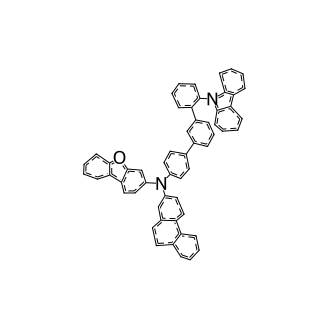 c1cc(-c2ccc(N(c3ccc4c(ccc5ccccc54)c3)c3ccc4c(c3)oc3ccccc34)cc2)cc(-c2ccccc2-n2c3ccccc3c3ccccc32)c1